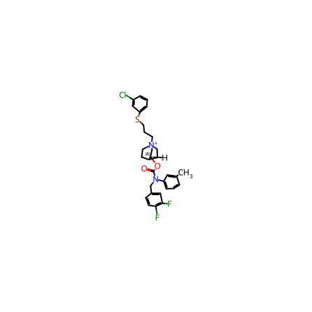 Cc1cccc(N(Cc2ccc(F)c(F)c2)C(=O)O[C@H]2C[N+]3(CCCSc4cccc(Cl)c4)CCC2CC3)c1